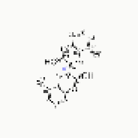 O=C(O)/C(Cc1ccccc1Br)=C(\Cc1ccccc1Br)C(=O)O